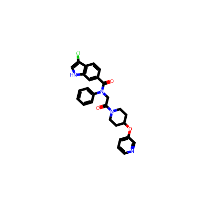 O=C(CN(C(=O)c1ccc2c(Cl)c[nH]c2c1)c1ccccc1)N1CCC(Oc2cccnc2)CC1